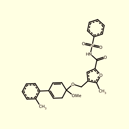 COC1(OCc2cc(C(=O)NS(=O)(=O)c3ccccc3)oc2C)C=CC(c2ccccc2C)=CC1